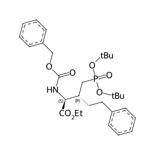 CCOC(=O)[C@@H](NC(=O)OCc1ccccc1)[C@@H](CCc1ccccc1)CP(=O)(OC(C)(C)C)OC(C)(C)C